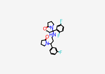 [CH2]CC(NCCC(c1cccc(F)c1)N1CCCC1=O)(c1cc(F)ccc1F)N1CCCC1=O